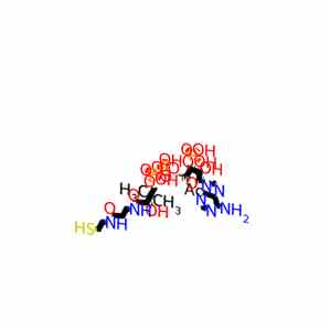 CC(=O)C12N=CN=C(N)C1=NCN2[C@@H]1O[C@H](COP(=O)(O)OP(=O)(O)OCC(C)(C)[C@@H](O)C(=O)NCCC(=O)NCCS)[C@@H](OP(=O)(O)O)[C@H]1O